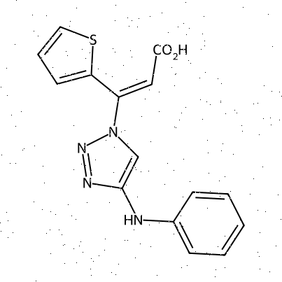 O=C(O)C=C(c1cccs1)n1cc(Nc2ccccc2)nn1